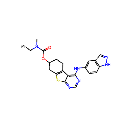 CC(C)CN(C)C(=O)OC1CCc2c(sc3ncnc(Nc4ccc5[nH]ncc5c4)c23)C1